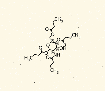 CCCC(=O)N[C@@H]1C(OC(=O)CCC)O[C@H](COC(=O)CCC)[C@@H](OC(=O)CCC)[C@@H]1O